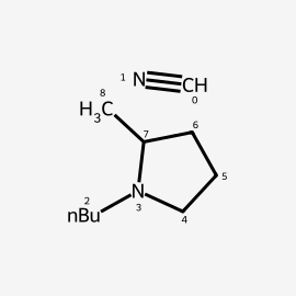 C#N.CCCCN1CCCC1C